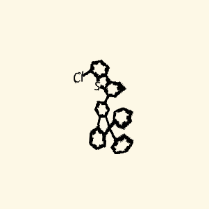 Clc1cccc2c1sc1c(-c3ccc4c(c3)C(c3ccccc3)(c3ccccc3)c3ccccc3-4)cccc12